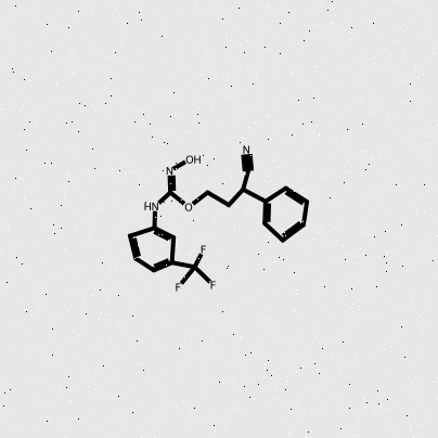 N#CC(CCOC(=NO)Nc1cccc(C(F)(F)F)c1)c1ccccc1